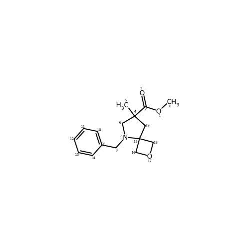 COC(=O)C1(C)CN(Cc2ccccc2)C2(COC2)C1